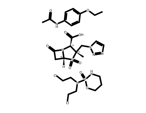 CCOc1ccc(NC(C)=O)cc1.C[C@]1(Cn2ccnn2)[C@H](C(=O)O)N2C(=O)C[C@H]2S1(=O)=O.O=P1(N(CCCl)CCCl)NCCCO1